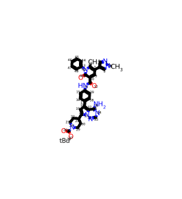 Cc1c(-c2cnn(C)c2)cc(C(=O)Nc2ccc(-c3cc(C4CCN(C(=O)OC(C)(C)C)CC4)n4ncnc(N)c34)cc2)c(=O)n1-c1ccccc1